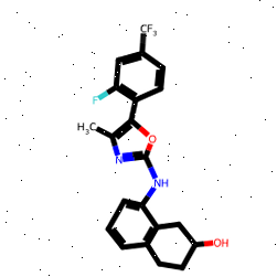 Cc1nc(Nc2cccc3c2CC(O)CC3)oc1-c1ccc(C(F)(F)F)cc1F